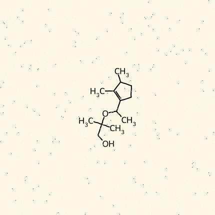 CC1=C(C(C)OC(C)(C)CO)CCC1C